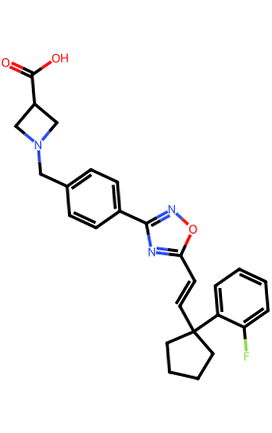 O=C(O)C1CN(Cc2ccc(-c3noc(C=CC4(c5ccccc5F)CCCC4)n3)cc2)C1